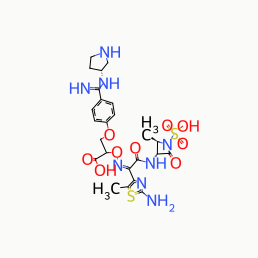 Cc1sc(N)nc1/C(=N/OC(COc1ccc(C(=N)N[C@@H]2CCNC2)cc1)C(=O)O)C(=O)N[C@@H]1C(=O)N(S(=O)(=O)O)[C@@H]1C